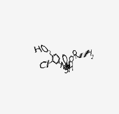 NC(=O)c1ccc(N(S)C(=O)Nc2ccc(CCO)c(Cl)c2)cc1